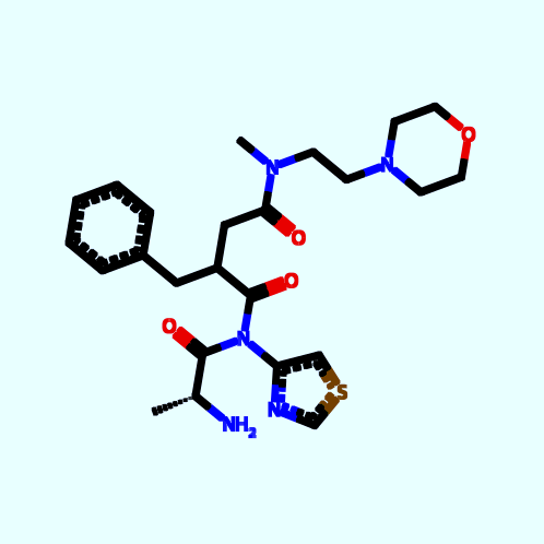 C[C@@H](N)C(=O)N(C(=O)C(CC(=O)N(C)CCN1CCOCC1)Cc1ccccc1)c1cscn1